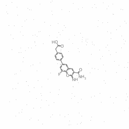 N=c1oc2c(F)cc(-c3ccc(CC(=O)O)cc3)cc2cc1C(N)=O